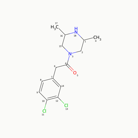 CC1CN(C(=O)Cc2ccc(Cl)c(Cl)c2)CC(C)N1